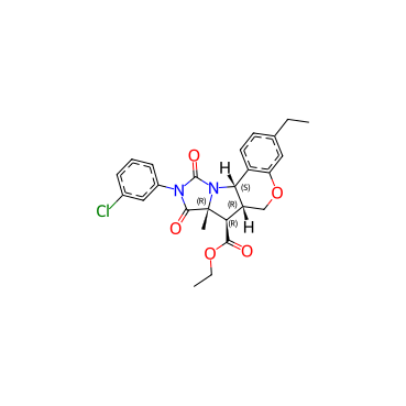 CCOC(=O)[C@@H]1[C@H]2COc3cc(CC)ccc3[C@H]2N2C(=O)N(c3cccc(Cl)c3)C(=O)[C@@]12C